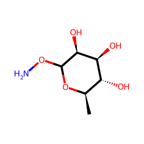 C[C@H]1OC(ON)[C@@H](O)[C@@H](O)[C@@H]1O